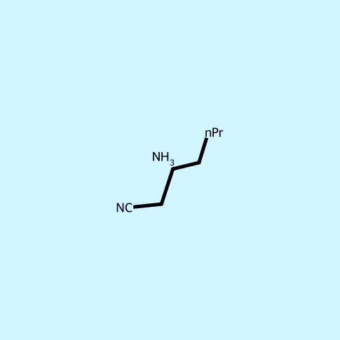 CCCCCCC#N.N